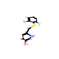 O=c1cc(CSc2c(Cl)cccc2Cl)[nH]cc1O